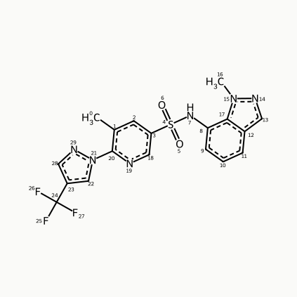 Cc1cc(S(=O)(=O)Nc2cccc3cnn(C)c23)cnc1-n1cc(C(F)(F)F)cn1